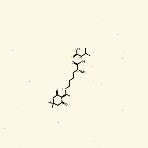 CC(NCCCC[C@H](N)C(=O)N[C@H](C(=O)O)C(C)C)=C1C(=O)CC(C)(C)CC1=O